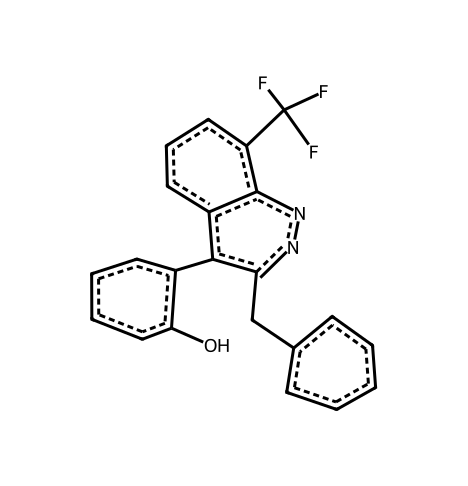 Oc1ccccc1-c1c(Cc2ccccc2)nnc2c(C(F)(F)F)cccc12